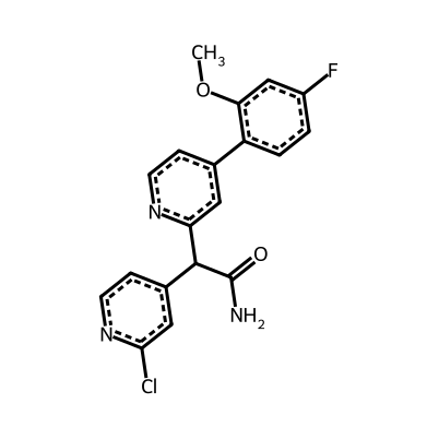 COc1cc(F)ccc1-c1ccnc(C(C(N)=O)c2ccnc(Cl)c2)c1